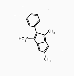 CC1=CC2=C(C)C(c3ccccc3)=C(S(=O)(=O)O)C2=C1